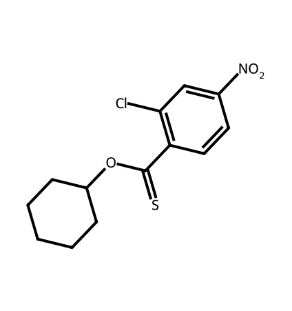 O=[N+]([O-])c1ccc(C(=S)OC2CCCCC2)c(Cl)c1